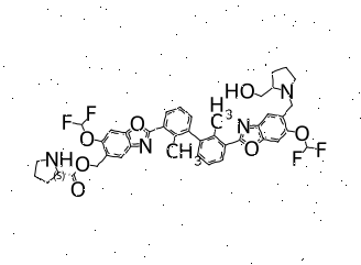 Cc1c(-c2nc3cc(COC(=O)[C@@H]4CCCN4)c(OC(F)F)cc3o2)cccc1-c1cccc(-c2nc3cc(CN4CCCC4CO)c(OC(F)F)cc3o2)c1C